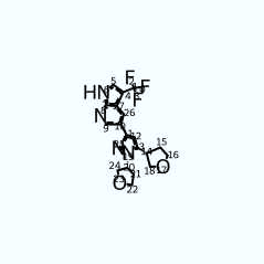 FC(F)(F)c1c[nH]c2ncc(-c3cc([C@H]4CCOC4)n([C@@H]4CCOC4)n3)cc12